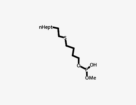 CCCCCCCCCSCCCCOP(O)OC